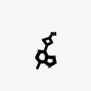 Cc1cnc(C2CC(O)C2)c2ncsc12